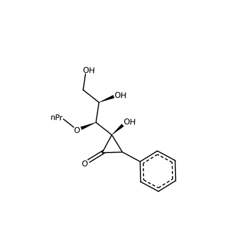 CCCO[C@@H]([C@H](O)CO)[C@@]1(O)C(=O)C1c1ccccc1